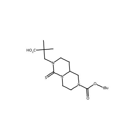 CC(C)(C)OC(=O)N1CCN2C(=S)N(CC(C)(C)C(=O)O)CCC2C1